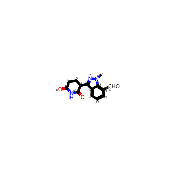 Cn1nc(C2CCC(=O)NC2=O)c2cccc(C=O)c21